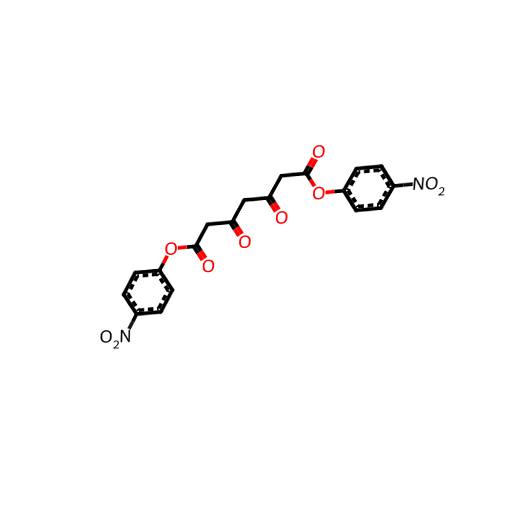 O=C(CC(=O)CC(=O)Oc1ccc([N+](=O)[O-])cc1)CC(=O)Oc1ccc([N+](=O)[O-])cc1